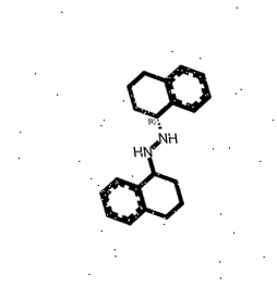 c1ccc2c(c1)CCCC2NN[C@@H]1CCCc2ccccc21